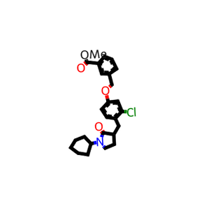 COC(=O)c1cccc(COc2ccc(CC3CCN(C4CCCCC4)C3=O)c(Cl)c2)c1